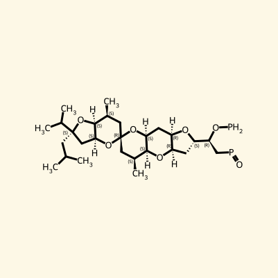 CC(C)C[C@@]1(C(C)C)C[C@@H]2O[C@]3(C[C@H](C)[C@@H]4O[C@@H]5C[C@@H]([C@H](CP=O)OP)O[C@@H]5C[C@@H]4O3)C[C@H](C)[C@@H]2O1